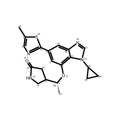 Cc1cnc(-c2cc(O[C@H](C)C3CNC(=O)C3)c3c(c2)ncn3C2CC2)s1